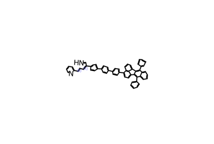 N=C/C(=C\C=C\c1ccccn1)c1ccc(-c2ccc(-c3ccc(-c4ccc5c6c(cccc46)-c4c-5c(-c5ccccc5)c5ccccc5c4-c4ccccc4)cc3)cc2)cc1